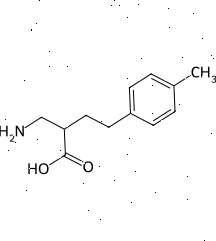 Cc1ccc(CCC(CN)C(=O)O)cc1